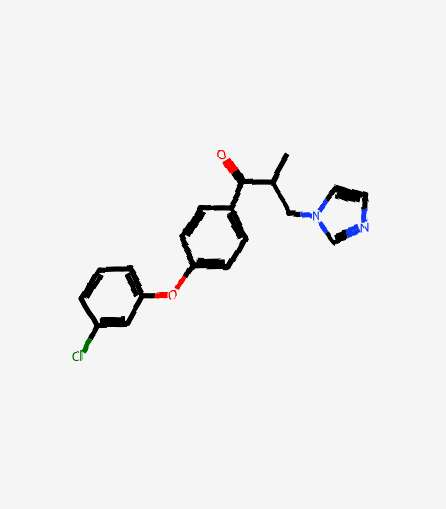 CC(Cn1ccnc1)C(=O)c1ccc(Oc2cccc(Cl)c2)cc1